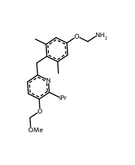 COCOc1ccc(Cc2c(C)cc(OCN)cc2C)nc1C(C)C